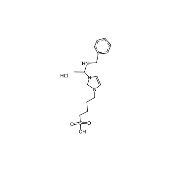 CC(NCc1ccccc1)N1C=CN(CCCCS(=O)(=O)O)C1.Cl